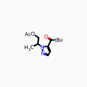 CC(=O)OCC(C)n1nccc1C(=O)C(C)(C)C